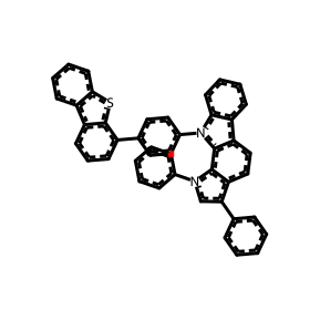 c1ccc(-c2cn(-c3ccccc3)c3c2ccc2c4ccccc4n(-c4ccc(-c5cccc6c5sc5ccccc56)cc4)c23)cc1